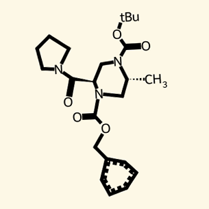 C[C@@H]1CN(C(=O)OCc2ccccc2)[C@@H](C(=O)N2CCCC2)CN1C(=O)OC(C)(C)C